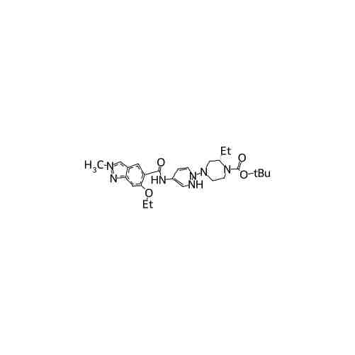 CCOc1cc2nn(C)cc2cc1C(=O)NC1=CNN(N2CCN(C(=O)OC(C)(C)C)[C@@H](CC)C2)C=C1